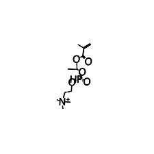 C=C(C)C(=O)OC(C)O[PH](=O)OCC[N+](C)(C)C